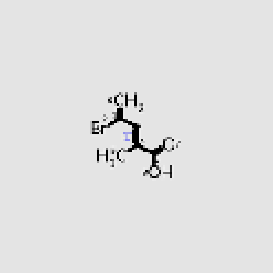 C=C(Br)/C=C(\C)C(=O)O